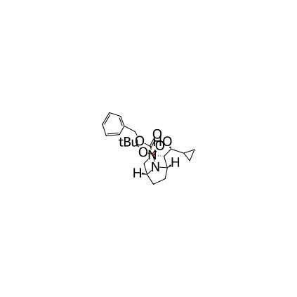 CC(C)(C)OC(=O)N1[C@@H]2CC[C@H]1[C@@H]([C@@H](O)C1CC1)N(C(=O)OCc1ccccc1)C2